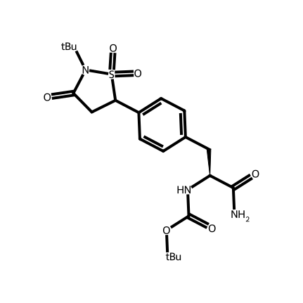 CC(C)(C)OC(=O)N[C@@H](Cc1ccc(C2CC(=O)N(C(C)(C)C)S2(=O)=O)cc1)C(N)=O